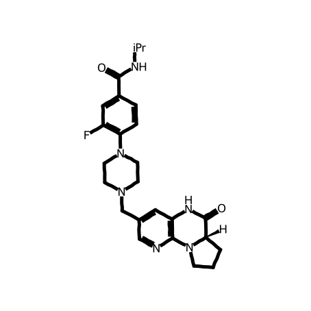 CC(C)NC(=O)c1ccc(N2CCN(Cc3cnc4c(c3)NC(=O)[C@@H]3CCCN43)CC2)c(F)c1